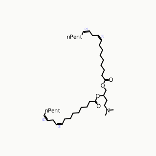 CCCCC/C=C\C/C=C\CCCCCCCC(=O)OCC(CCN(C)C)OC(=O)CCCCCCC/C=C\C/C=C\CCCCC